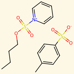 CCCCOS(=O)(=O)[n+]1ccccc1.Cc1ccc(S(=O)(=O)[O-])cc1